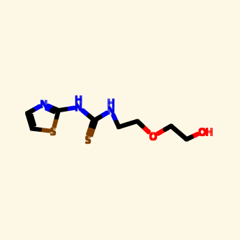 OCCOCCNC(=S)Nc1nccs1